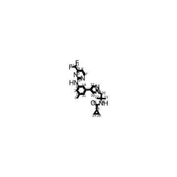 Cc1cc(Nc2nccc(C(F)F)n2)cc(-c2cnn(CC(C)(C)NC(=O)C3CC3)c2)c1